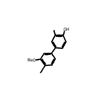 COc1cc(-c2ccc(O)c(C)c2)ccc1C